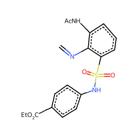 C=Nc1c(NC(C)=O)cccc1S(=O)(=O)Nc1ccc(C(=O)OCC)cc1